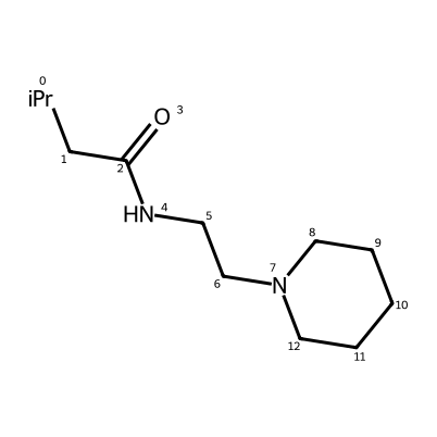 CC(C)CC(=O)NCCN1CCCCC1